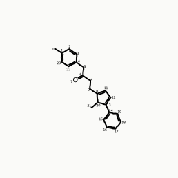 Cc1ccc(CC(=O)CCC2=CC=C(c3ccccc3)C2C)cc1